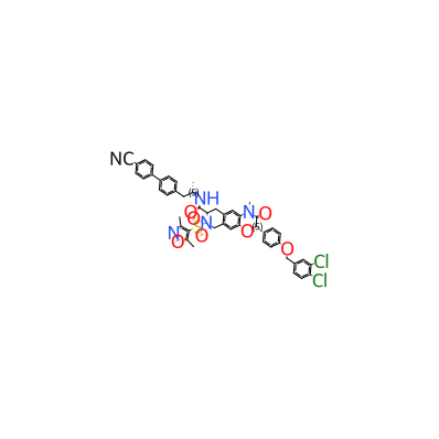 Cc1noc(C)c1S(=O)(=O)N1Cc2cc3c(cc2CC1C(=O)N[C@@H](C)Cc1ccc(-c2ccc(C#N)cc2)cc1)N(C)C(=O)[C@H](c1ccc(OCc2ccc(Cl)c(Cl)c2)cc1)O3